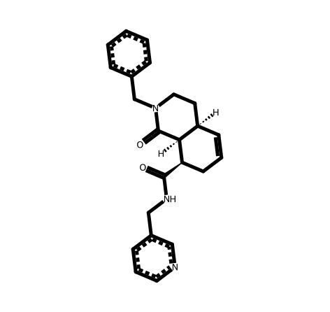 O=C(NCc1cccnc1)[C@@H]1CC=C[C@@H]2CCN(Cc3ccccc3)C(=O)[C@@H]21